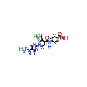 Cl.Cl.N=C(N)c1cnc(N2CCC(C(=O)N[C@H]3CC[C@H](C(=O)O)CC3)CC2)nc1